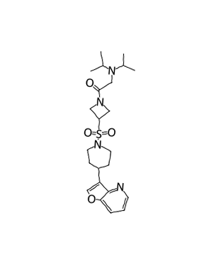 CC(C)N(CC(=O)N1CC(S(=O)(=O)N2CCC(c3coc4cccnc34)CC2)C1)C(C)C